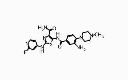 CN1CCN(c2ccc(C(=O)Nc3sc(Nc4ccnc(F)c4)nc3C(N)=O)cc2N)CC1